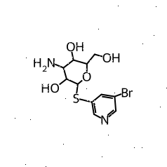 NC1C(O)C(CO)OC(Sc2cncc(Br)c2)C1O